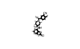 [2H]C(c1ccc(F)c(C#N)c1)N1CCC([2H])(N([2H])c2ncnc3sc(Cl)nc23)CC1